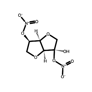 O=[N+]([O-])O[C@@H]1CO[C@H]2[C@@H]1OC[C@@]2(O)O[N+](=O)[O-]